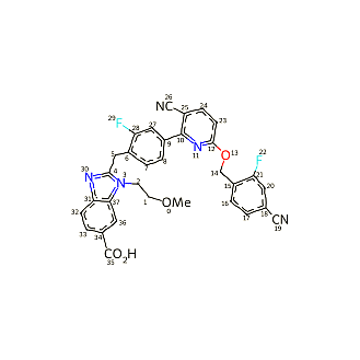 COCCn1c(Cc2ccc(-c3nc(OCc4ccc(C#N)cc4F)ccc3C#N)cc2F)nc2ccc(C(=O)O)cc21